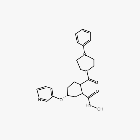 O=C(NO)C1C[C@H](Oc2cccnc2)CCC1C(=O)N1CCN(c2ccccc2)CC1